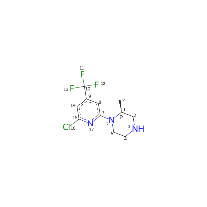 C[C@H]1CNCCN1c1cc(C(F)(F)F)cc(Cl)n1